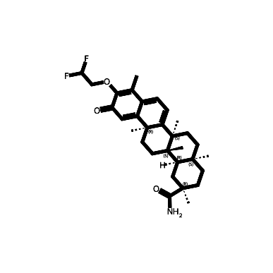 CC1=C(OCC(F)F)C(=O)C=C2C1=CC=C1[C@@]2(C)CC[C@@]2(C)[C@@H]3C[C@](C)(C(N)=O)CC[C@]3(C)CC[C@]12C